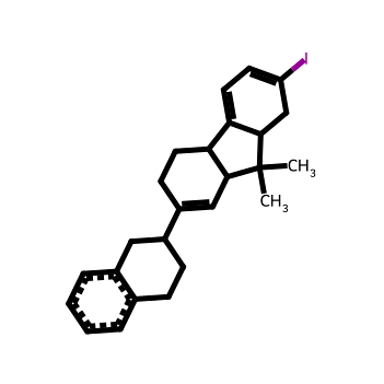 CC1(C)C2CC(I)=CC=C2C2CCC(C3CCc4ccccc4C3)=CC21